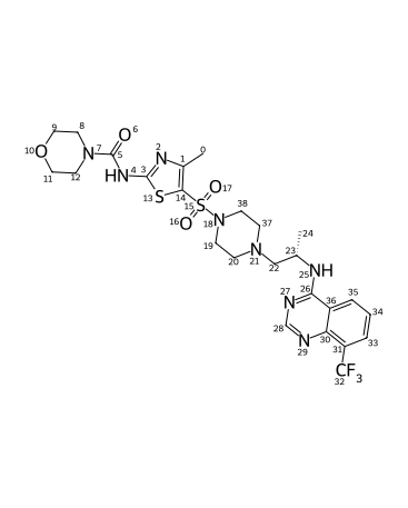 Cc1nc(NC(=O)N2CCOCC2)sc1S(=O)(=O)N1CCN(C[C@H](C)Nc2ncnc3c(C(F)(F)F)cccc23)CC1